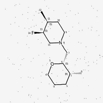 C[C@@H]1CCCO[C@@H]1CN1CC[C@H](C)[C@H](F)C1